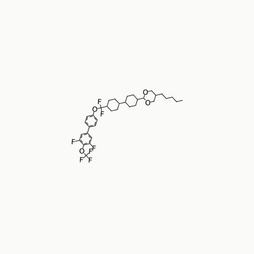 CCCCCC1COC(C2CCC(C3CCC(C(F)(F)Oc4ccc(-c5cc(F)c(OC(F)(F)F)c(F)c5)cc4)CC3)CC2)OC1